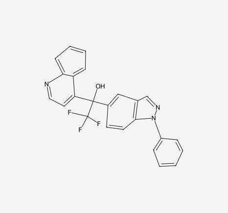 OC(c1ccc2c(cnn2-c2ccccc2)c1)(c1ccnc2ccccc12)C(F)(F)F